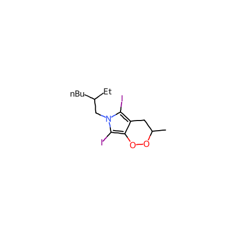 CCCCC(CC)Cn1c(I)c2c(c1I)OOC(C)C2